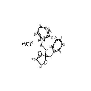 Cl.c1ccc(CC2(CCn3ccnc3)OCCO2)cc1